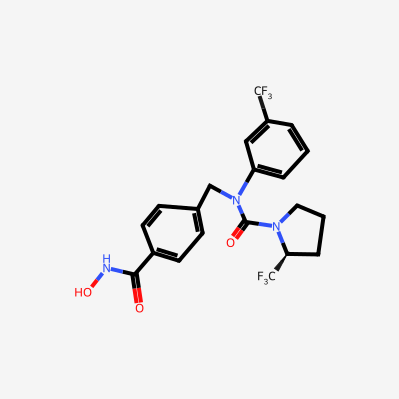 O=C(NO)c1ccc(CN(C(=O)N2CCC[C@H]2C(F)(F)F)c2cccc(C(F)(F)F)c2)cc1